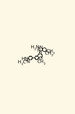 Cc1nc2cc(-c3cc(C)c4c(c3)CN(c3nc(N)nc5c3CC(C)(C)CC5)CCO4)ccc2[nH]1